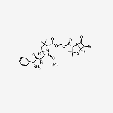 CC1(C)S[C@@H]2C(NC(=O)C(N)c3ccccc3)C(=O)N2[C@H]1C(=O)OCOC(=O)[C@@H]1N2C(=O)[C@@H](Br)[C@H]2SC1(C)C.Cl